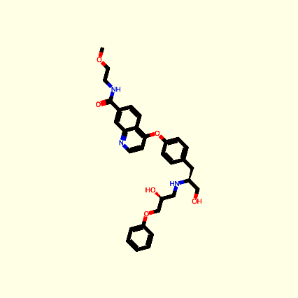 COCCNC(=O)c1ccc2c(Oc3ccc(C[C@@H](CO)NC[C@H](O)COc4ccccc4)cc3)ccnc2c1